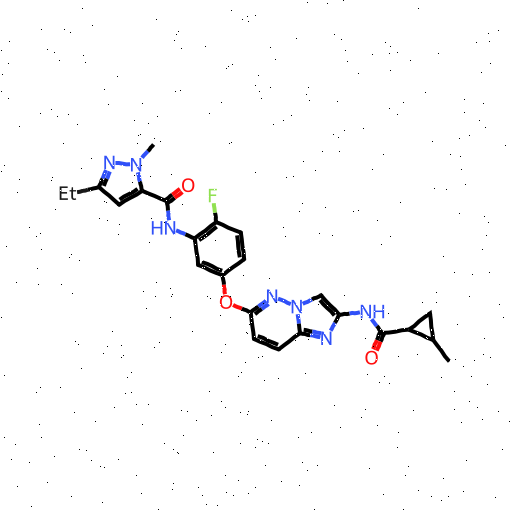 CCc1cc(C(=O)Nc2cc(Oc3ccc4nc(NC(=O)C5CC5C)cn4n3)ccc2F)n(C)n1